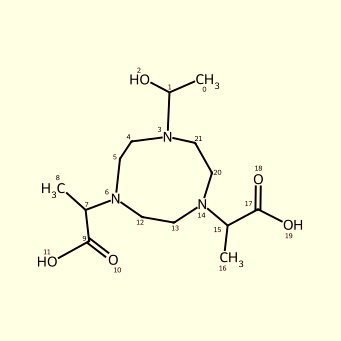 CC(O)N1CCN(C(C)C(=O)O)CCN(C(C)C(=O)O)CC1